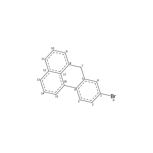 Brc1ccc2c(c1)Cc1cccc3cccc-2c13